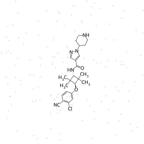 CC1(C)[C@H](NC(=O)c2cnn(C3CCNCC3)c2)C(C)(C)[C@H]1Oc1ccc(C#N)c(Cl)c1